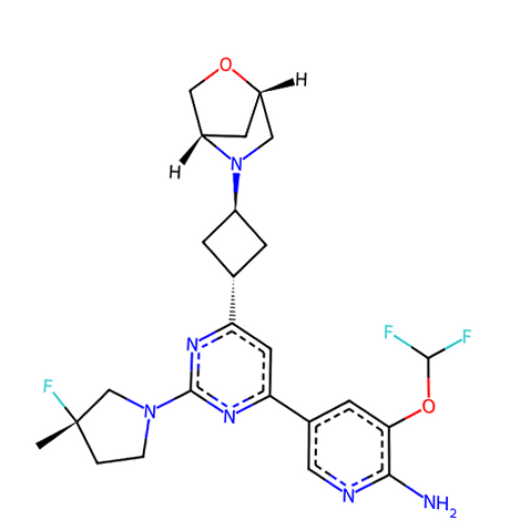 C[C@]1(F)CCN(c2nc(-c3cnc(N)c(OC(F)F)c3)cc([C@H]3C[C@H](N4C[C@@H]5C[C@H]4CO5)C3)n2)C1